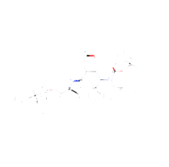 CCN(C(=O)OC(C)(C)C)C(CC(OC(C)=O)c1nc(CO[Si](C)(C)C(C)(C)C)cs1)C(C)C